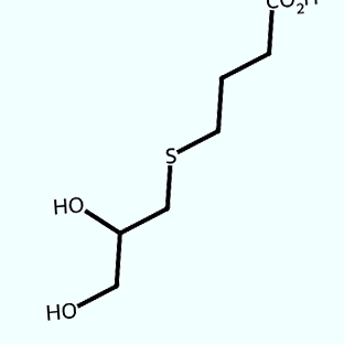 O=C(O)CCCSCC(O)CO